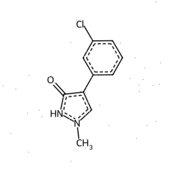 Cn1cc(-c2cccc(Cl)c2)c(=O)[nH]1